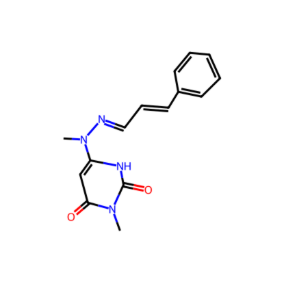 CN(N=CC=Cc1ccccc1)c1cc(=O)n(C)c(=O)[nH]1